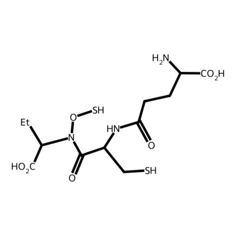 CCC(C(=O)O)N(OS)C(=O)C(CS)NC(=O)CCC(N)C(=O)O